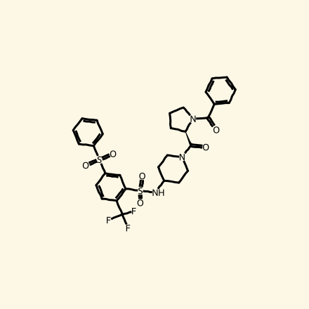 O=C([C@H]1CCCN1C(=O)c1ccccc1)N1CCC(NS(=O)(=O)c2cc(S(=O)(=O)c3ccccc3)ccc2C(F)(F)F)CC1